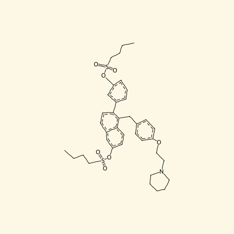 CCCCS(=O)(=O)Oc1cccc(-c2ccc3cc(OS(=O)(=O)CCCC)ccc3c2Cc2ccc(OCCN3CCCCC3)cc2)c1